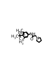 Cc1cc(NC(=O)CN2CCCC2)cc(F)c1C(C)(C)C